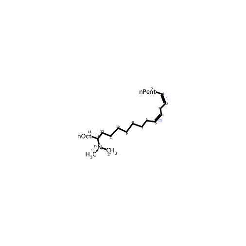 CCCCC/C=C\C/C=C\CCCCCCCC(CCCCCCCC)N(C)C